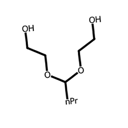 [CH2]CCC(OCCO)OCCO